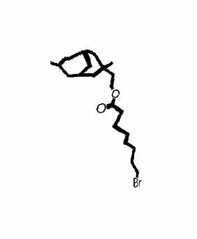 CC1CC2CC(C1)CC(C)(CCOC(=O)CCCCCCCBr)C2